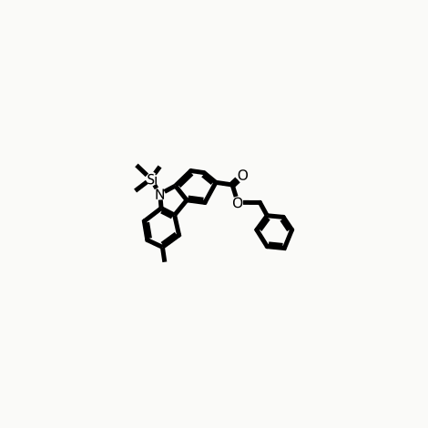 Cc1ccc2c(c1)c1cc(C(=O)OCc3ccccc3)ccc1n2[Si](C)(C)C